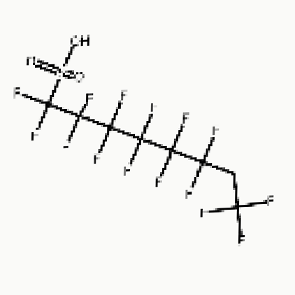 O=S(=O)(O)C(F)(F)C(F)(F)C(F)(F)C(F)(F)C(F)(F)C(F)(F)CC(F)(F)F